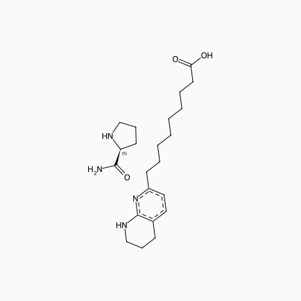 NC(=O)[C@@H]1CCCN1.O=C(O)CCCCCCCCc1ccc2c(n1)NCCC2